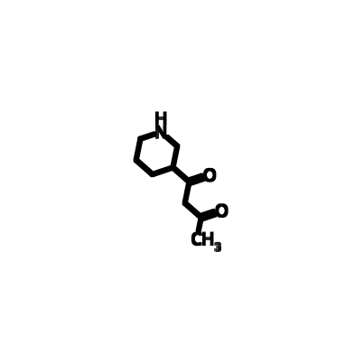 CC(=O)CC(=O)C1CCCNC1